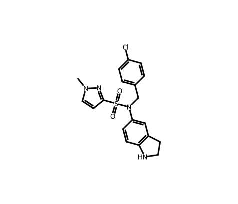 Cn1ccc(S(=O)(=O)N(Cc2ccc(Cl)cc2)c2ccc3c(c2)CCN3)n1